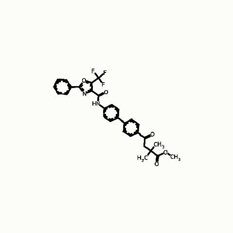 COC(=O)C(C)(C)CC(=O)c1ccc(-c2ccc(NC(=O)c3nc(-c4ccccc4)oc3C(F)(F)F)cc2)cc1